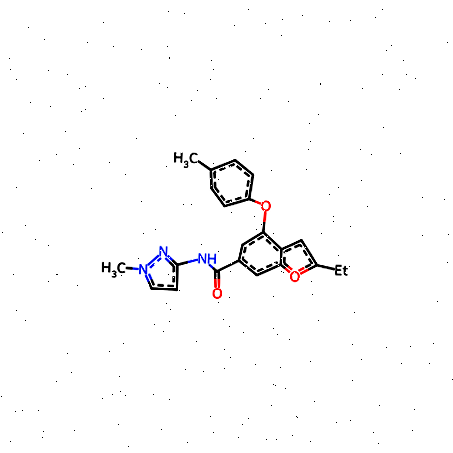 CCc1cc2c(Oc3ccc(C)cc3)cc(C(=O)Nc3ccn(C)n3)cc2o1